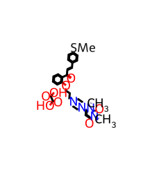 CSc1ccc(/C=C/C(=O)c2ccccc2OCCCN2CCN(c3cc(=O)n(C)c(=O)n3C)CC2)cc1.O=C(O)C(=O)O